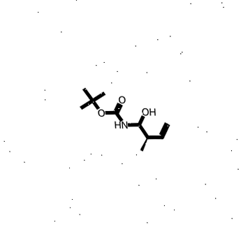 C=C[C@@H](C)C(O)NC(=O)OC(C)(C)C